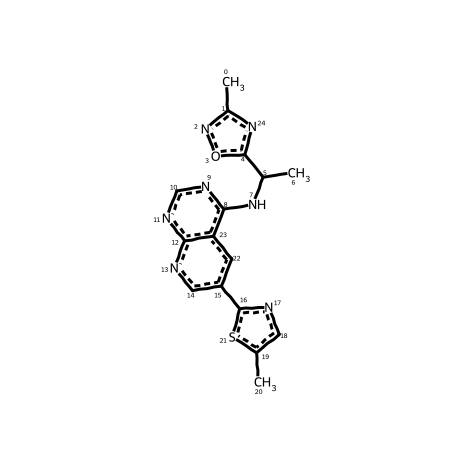 Cc1noc(C(C)Nc2ncnc3ncc(-c4ncc(C)s4)cc23)n1